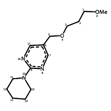 COCCCOCc1cnc(N2CCCCC2)nc1